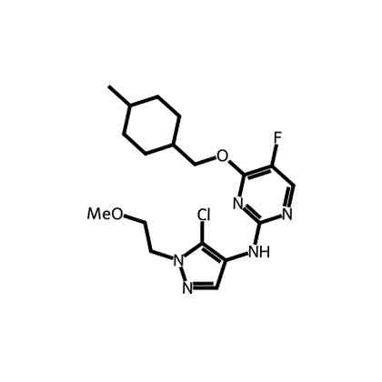 COCCn1ncc(Nc2ncc(F)c(OCC3CCC(C)CC3)n2)c1Cl